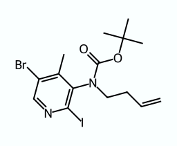 C=CCCN(C(=O)OC(C)(C)C)c1c(I)ncc(Br)c1C